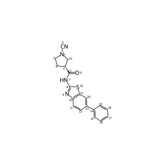 N#CN1CC[C@H](C(=O)Nc2nc3ccc(-c4ccccc4)cc3s2)C1